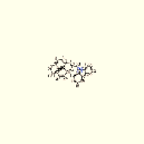 Cc1ccc2ccc3cc(Cn4c5ccccc5c5ccccc54)cc4ccc1c2c34